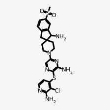 CS(=O)(=O)c1ccc2c(c1)C(N)C1(CCN(c3cnc(Sc4ccnc(N)c4Cl)c(N)n3)CC1)C2